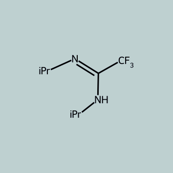 CC(C)/N=C(\NC(C)C)C(F)(F)F